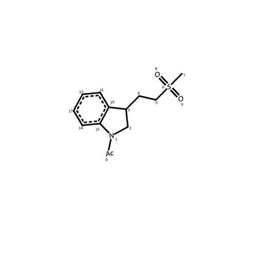 CC(=O)N1CC(CCS(C)(=O)=O)c2ccccc21